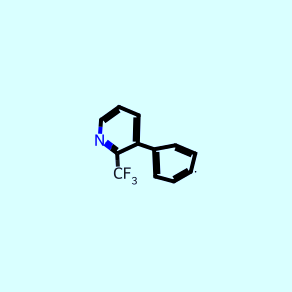 FC(F)(F)c1ncccc1-c1cc[c]cc1